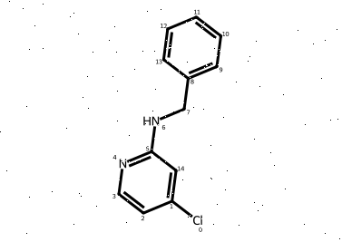 Clc1ccnc(NCc2ccccc2)c1